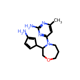 Cc1cc(N2CCCOCC2C2C=CC(N)=C2)nc(N)n1